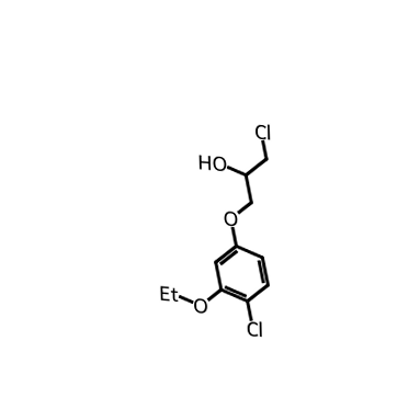 CCOc1cc(OCC(O)CCl)ccc1Cl